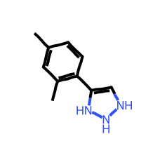 Cc1ccc(C2=CNNN2)c(C)c1